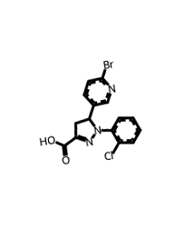 O=C(O)C1=NN(c2ccccc2Cl)C(c2ccc(Br)nc2)C1